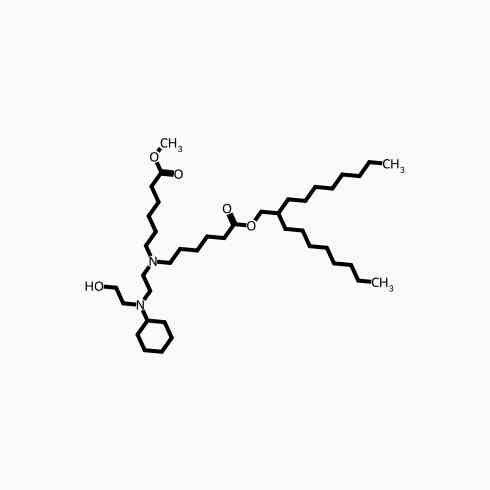 CCCCCCCCC(CCCCCCCC)COC(=O)CCCCCN(CCCCCC(=O)OC)CCN(CCO)C1CCCCC1